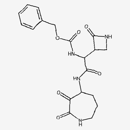 O=C(NC(C(=O)NC1CCCNC(=O)C1=O)C1CNC1=O)OCc1ccccc1